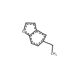 C[CH]c1ccc2occc2c1